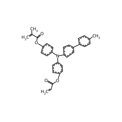 C=CC(=O)Oc1ccc(N(c2ccc(OC(=O)C(=C)C)cc2)c2ccc(-c3ccc(C)cc3)cc2)cc1